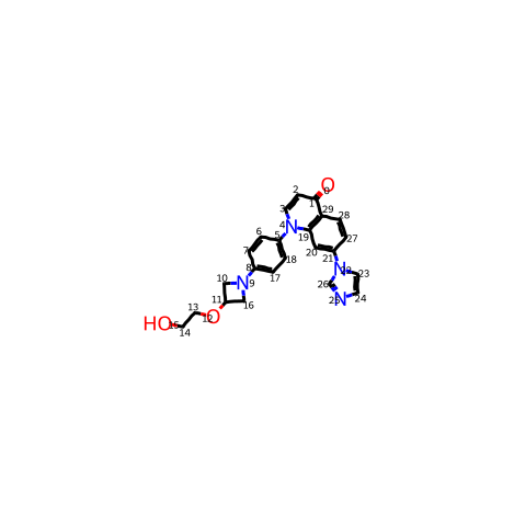 O=c1ccn(-c2ccc(N3CC(OCCO)C3)cc2)c2cc(-n3ccnc3)ccc12